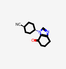 N#C[C@H]1CC[C@H](n2cnc3c2C(=O)CCC3)CC1